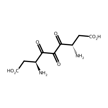 N[C@@H](CC(=O)O)C(=O)C(=O)C(=O)[C@@H](N)CC(=O)O